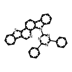 c1ccc(-c2nc(-c3ccccc3)nc(-n3c4ccccc4c4ccc5c(ncc6c7ccccc7sc65)c43)n2)cc1